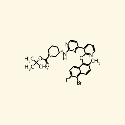 Cc1ccc2c(Br)c(F)ccc2c1Oc1ncccc1-c1ccnc(N[C@H]2CCCN(C(=O)OC(C)(C)C)C2)n1